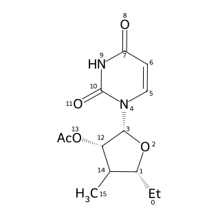 CC[C@H]1O[C@@H](n2ccc(=O)[nH]c2=O)[C@@H](OC(C)=O)C1C